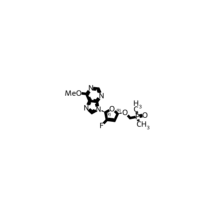 COc1ncnc2c1ncn2[C@@H]1O[C@H](OCP(C)(C)=O)C=C1F